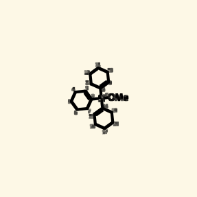 CO[Si](C1=CCCCC1)(C1=CCCCC1)C1=CCCCC1